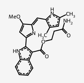 COC1=CC(c2[nH]c3ccccc3c2C(=O)OCCC(N)=O)=NC1=Cc1[nH]c(C)cc1C